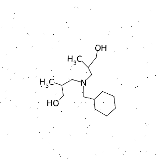 CC(CO)CN(CC(C)CO)CC1CCCCC1